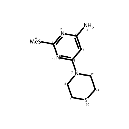 CSc1nc(N)cc(N2CCSCC2)n1